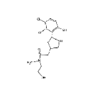 CN(CCO)C(=O)CC1CN[C@@H](c2c(O)ccc(Cl)c2Cl)C1